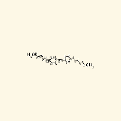 CCCCCCCc1ccc(C#Cc2ccc(OCCOCCC)cc2)cc1